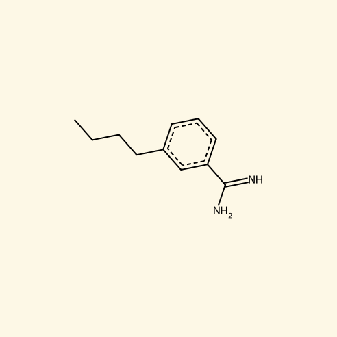 CCCCc1cccc(C(=N)N)c1